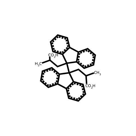 CC(CC1(C2(CC(C)C(=O)O)c3ccccc3-c3ccccc32)c2ccccc2-c2ccccc21)C(=O)O